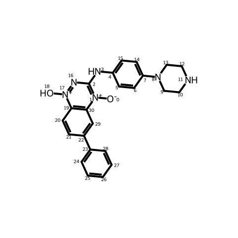 [O-][n+]1c(Nc2ccc(N3CCNCC3)cc2)n[n+](O)c2ccc(-c3ccccc3)cc21